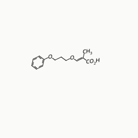 CC(=COCCCOc1ccccc1)C(=O)O